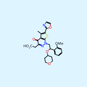 COc1ccccc1C(Cn1nc(CC(=O)O)c(=O)c2c(C)c(-c3ncco3)sc21)OC1CCOCC1